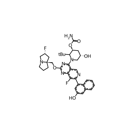 CC(C)(C)C1[C@@H](OC(N)=O)C[C@H](O)CN1c1nc(OC[C@@]23CCCN2C[C@H](F)C3)nc2c(F)c(-c3cc(O)cc4ccccc34)ncc12